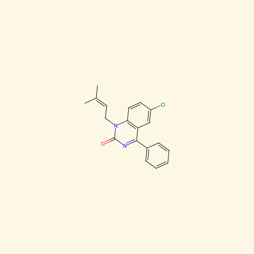 CC(C)=CCn1c(=O)nc(-c2ccccc2)c2cc(Cl)ccc21